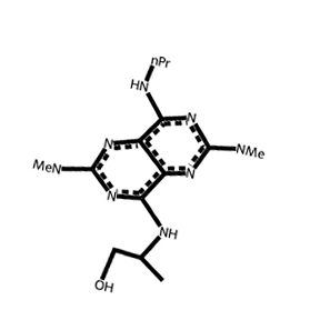 CCCNc1nc(NC)nc2c(NC(C)CO)nc(NC)nc12